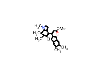 COC(=O)C=C(C1=Cc2cc(C)c(C)cc2C1)c1c(C)c(C)c(C)c2c1ccn2C